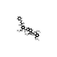 CCc1cccc(CC)c1NC(=O)c1nn(C)c2c1CCc1cnc(Nc3ccc(NC(=O)CCN4CCCCC4)cc3OC)nc1-2